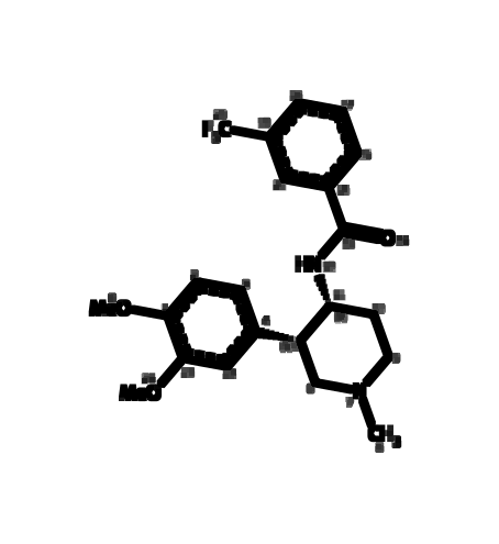 COc1ccc([C@H]2CN(C)CC[C@H]2NC(=O)c2cccc(C(F)(F)F)c2)cc1OC